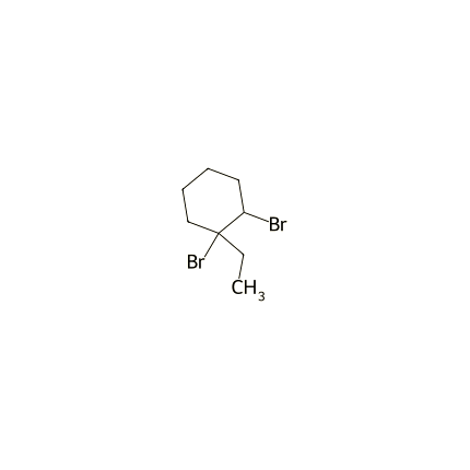 CCC1(Br)CCCCC1Br